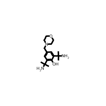 CC(C)(N)c1cc(CN2CCOCC2)cc(C(C)(C)N)c1O